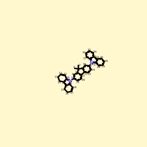 CC1(C)c2cc(-n3c4c(c5c3C=CCC5)CCC=C4)ccc2-c2ccc(-n3c4ccccc4c4ccccc43)cc21